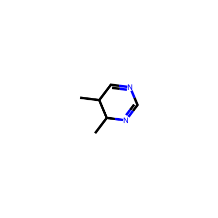 CC1C=NC=NC1C